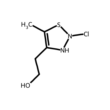 CC1=C(CCO)NN(Cl)S1